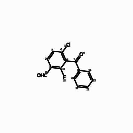 O=Cc1ccc(Cl)c(C(=O)c2ccccc2)c1F